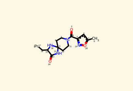 Cc1cc(C(=O)N2CCC3(CC2)NC(=O)C(CC(C)C)N3)no1